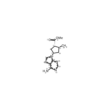 COC(=O)[C@H]1C[C@H](n2cnc3c(N)ncnc32)C[C@@H]1C